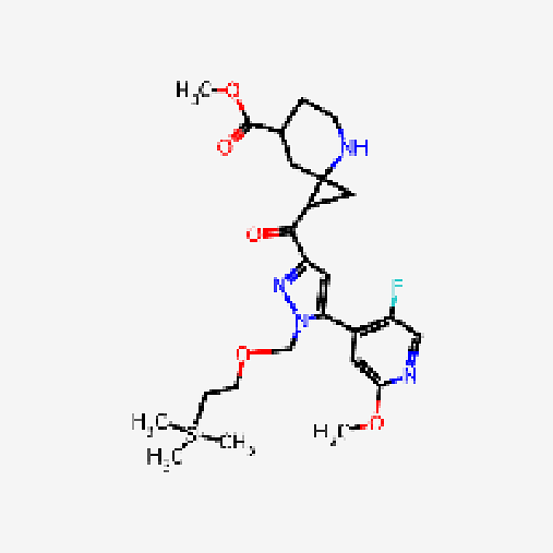 COC(=O)C1CCNC2(C1)CC2C(=O)c1cc(-c2cc(OC)ncc2F)n(COCC[Si](C)(C)C)n1